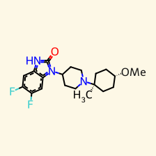 CO[C@H]1CC[C@](C)(N2CCC(n3c(=O)[nH]c4cc(F)c(F)cc43)CC2)CC1